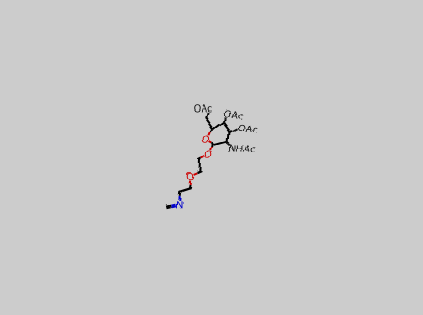 C=NCCOCCOC1OC(COC(C)=O)C(OC(C)=O)C(OC(C)=O)C1NC(C)=O